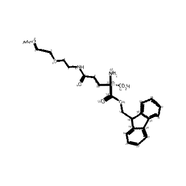 COCCOCCNC(=O)CC[C@](N)(C(=O)O)C(=O)OCC1c2ccccc2-c2ccccc21